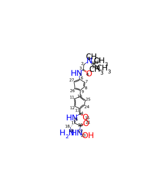 CN(CC(=O)Nc1ccc(-c2ccc(C(=O)N[C@@H](CN)C(=O)NO)cc2)cc1)C(C)(C)C